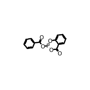 O=C(OP1OC(=O)c2ccccc2O1)c1ccccc1